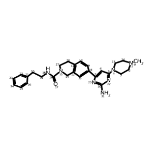 CN1CCN(c2cc(-c3ccc4c(c3)CN(C(=O)NCCc3ccccc3)CC4)nc(N)n2)CC1